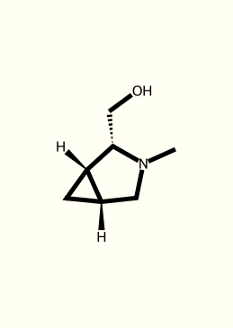 CN1C[C@@H]2C[C@@H]2[C@@H]1CO